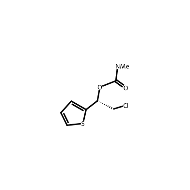 CNC(=O)O[C@H](CCl)c1cccs1